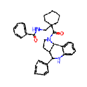 O=C(NCC1(C(=O)N2CCC3C(c4ccccc4)Nc4ccccc4C32)CCCCC1)c1ccccc1